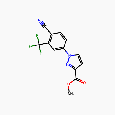 COC(=O)c1ccn(-c2ccc(C#N)c(C(F)(F)F)c2)n1